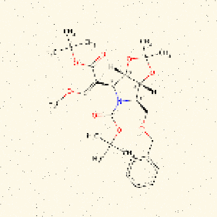 COC=C(C(=O)OC(C)(C)C)[C@H]1[C@@H]2OC(C)(C)O[C@@H]2[C@@H](COCc2ccccc2)N1C(=O)OC(C)(C)C